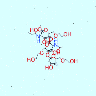 CCC(O)NC1[C@H](OC)OC(COCCO)[C@H](O[C@@H]2OC(COCCO)[C@H](O[C@H]3C[C@H](O)[C@@H](C)C(COCCO)O3)[C@@H](O)C2NC(C)=O)[C@H]1O